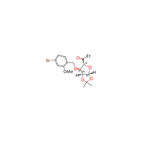 CCC(=O)[C@H]1O[C@@H]2OC(C)(C)O[C@@H]2[C@H]1OCc1ccc(Br)cc1OC